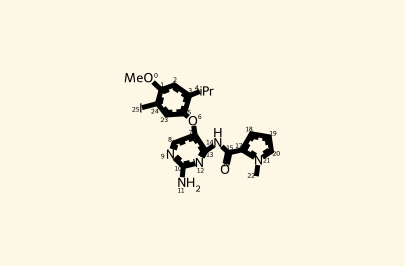 COc1cc(C(C)C)c(Oc2cnc(N)nc2NC(=O)c2cccn2C)cc1I